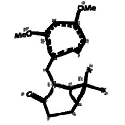 COc1ccc(CN2C(=O)CCC3C2C3(Br)Br)c(OC)c1